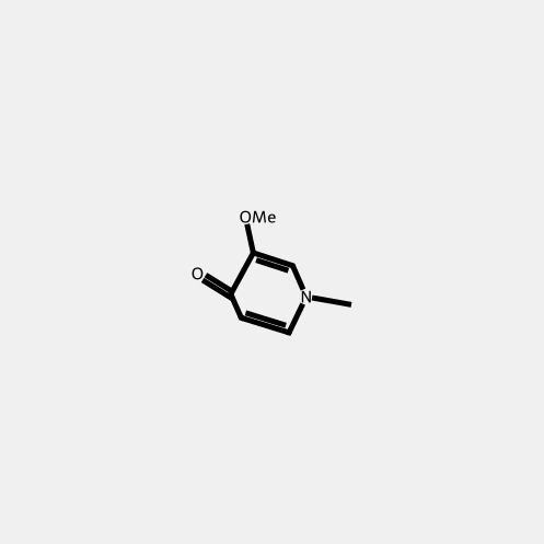 COc1cn(C)ccc1=O